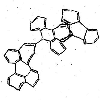 c1ccc(-c2ccccc2N(c2cccc(-c3cccc4cccc(-c5ccccc5)c34)c2)c2cccc(-n3c4ccccc4c4ccccc43)c2)cc1